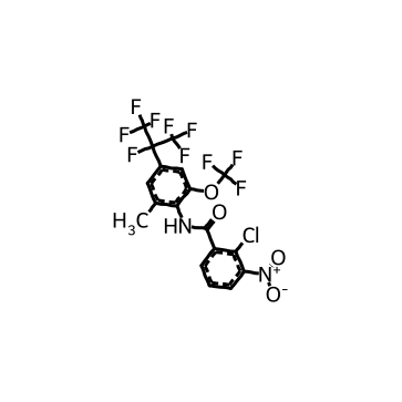 Cc1cc(C(F)(C(F)(F)F)C(F)(F)F)cc(OC(F)(F)F)c1NC(=O)c1cccc([N+](=O)[O-])c1Cl